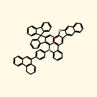 C1=Cc2c(-c3ccc(N(c4ccccc4-c4ccc5oc6cc7ccccc7cc6c5c4)c4cccc5c4-c4ccccc4C54c5ccccc5-c5ccccc54)cc3)cc3ccccc3c2CC1